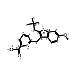 COc1ccc2c(Cc3cccc(C(=O)O)n3)c(CC(C)(C)C)[nH]c2c1